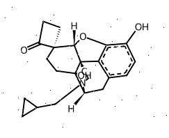 O=C1CC[C@]12CC[C@@]1(O)[C@H]3Cc4ccc(O)c5c4[C@@]1(CCN3CC1CC1)[C@H]2O5